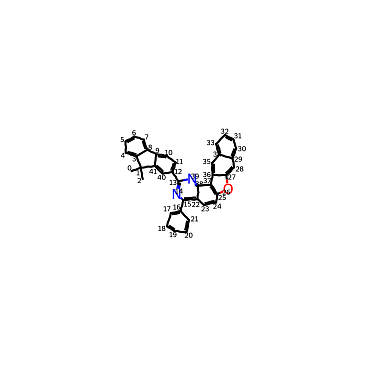 CC1(C)c2ccccc2-c2ccc(-c3nc(-c4ccccc4)c4ccc5oc6cc7ccccc7cc6c5c4n3)cc21